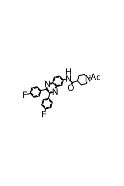 CC(=O)N1CCC(C(=O)Nc2ccc3nc(-c4ccc(F)cc4)c(-c4ccc(F)cc4)nc3c2)CC1